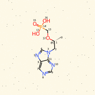 C[C@H](Cn1cnc2cncnc21)OCP(=O)(O)O